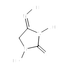 CN=C1CN(C)C(=O)N1C